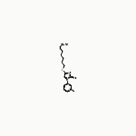 CCCCCCCCCCCCCCCCOc1nn(-c2cccc(F)c2)c(=O)o1